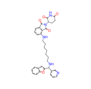 O=C1CCC(N2C(=O)c3cccc(NCCCCCCCNC(c4cccnc4)c4cc5ccccc5o4)c3C2=O)C(=O)N1